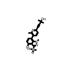 Cc1nc(C#CC(C)(C)O)ccc1-c1ccc(Cl)c2c([SH](C)(=O)N=O)nn(C)c12